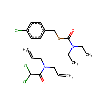 C=CCN(CC=C)C(=O)C(Cl)Cl.CCN(CC)C(=O)SCc1ccc(Cl)cc1